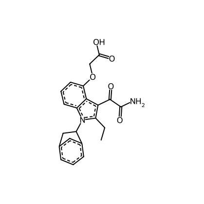 CCc1c(C(=O)C(N)=O)c2c(OCC(=O)O)cccc2n1C1Cc2cccc1c2